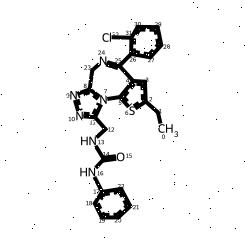 CCc1cc2c(s1)-n1c(nnc1CNC(=O)Nc1ccccc1)CN=C2c1ccccc1Cl